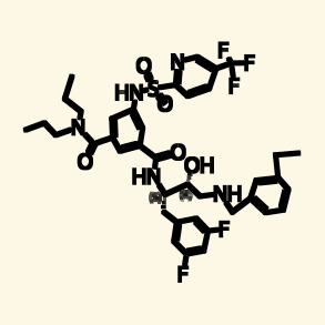 CCCN(CCC)C(=O)c1cc(NS(=O)(=O)c2ccc(C(F)(F)F)cn2)cc(C(=O)N[C@@H](Cc2cc(F)cc(F)c2)[C@H](O)CNCc2cccc(CC)c2)c1